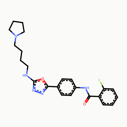 O=C(Nc1ccc(-c2nnc(NCCCCN3CCCC3)o2)cc1)c1ccccc1F